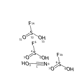 N#CO.O=S(O)F.O=S(O)F.O=S(O)F